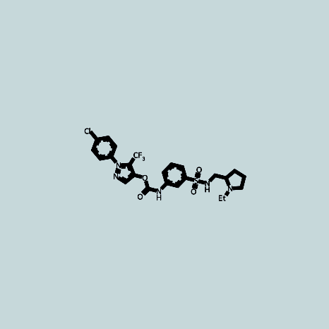 CCN1CCCC1CNS(=O)(=O)c1cccc(NC(=O)Oc2cnn(-c3ccc(Cl)cc3)c2C(F)(F)F)c1